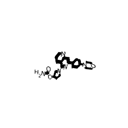 NC(=O)OC1CCN(c2nc(-c3ccc(N4CCOCC4)cc3)cc3ncccc23)C1